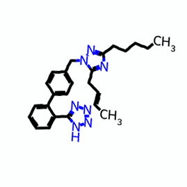 CC=CCc1nc(CCCCC)nn1Cc1ccc(-c2ccccc2-c2nnn[nH]2)cc1